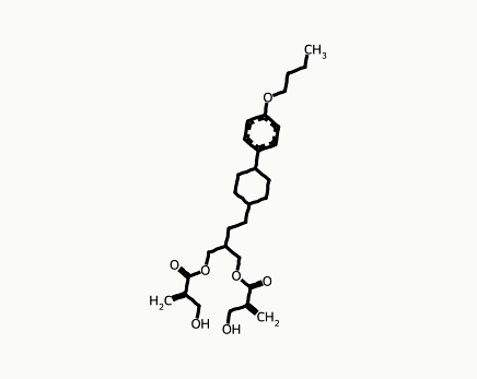 C=C(CO)C(=O)OCC(CCC1CCC(c2ccc(OCCCC)cc2)CC1)COC(=O)C(=C)CO